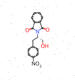 O=C1c2ccccc2C(=O)N1[C@H](CO)Cc1ccc([N+](=O)[O-])cc1